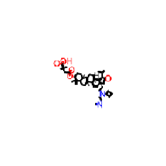 CC(C)C1=C2[C@H]3CCC4[C@@]5(C)CC[C@H](OC(=O)CC(C)(C)C(=O)O)C(C)(C)C5CC[C@@]4(C)[C@]3(C)CC[C@@]2(CCN(CCN(C)C)C2CCC2)CC1=O